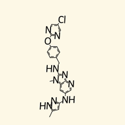 Cc1cc(Nc2cnc3nc(NCc4ccc(Oc5ncc(Cl)cn5)cc4)n(C)c3c2)n[nH]1